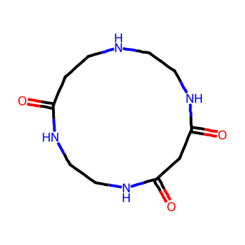 O=C1CCNCCNC(=O)CC(=O)NCCN1